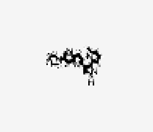 Cc1cccc(-c2n[nH]cc2-c2ccc3ncc(N4CCOCC4)cc3n2)n1